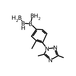 BBB(B)c1ccc(-n2nc(C)nc2C)c(C)c1